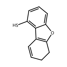 Sc1cccc2oc3c(c12)C=CCC3